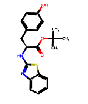 CC(C)(C)OC(=O)[C@H](Cc1ccc(O)cc1)Nc1nc2ccccc2s1